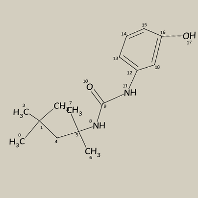 CC(C)(C)CC(C)(C)NC(=O)Nc1cccc(O)c1